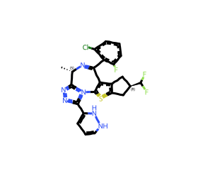 C[C@@H]1N=C(c2c(F)cccc2Cl)c2c(sc3c2C[C@@H](C(F)F)C3)-n2c(C3=CC=CNN3)nnc21